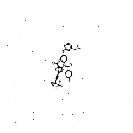 CN(C)Cc1ccnc(O[C@H]2CC[C@H](N(c3cc(C#CC4(C(F)(F)F)CC4)sc3C(=O)O)C(=O)[C@H]3CC[C@H](C)CC3)CC2)c1